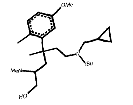 CCC(C)N(CCC(C)(CC(CO)NC)c1cc(OC)ccc1C)CC1CC1